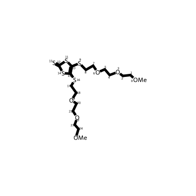 COCCOCCOCCSc1sc(=S)sc1SCCOCCOCCOC